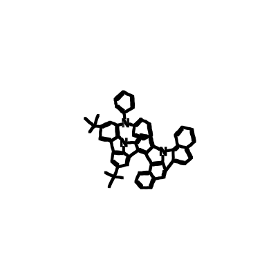 CC(C)(C)c1cc(N(c2ccccc2)c2ccccc2)c2c(c1)c1cc(C(C)(C)C)cc3c4c5c6c7ccccc7cc7c8ccc9ccccc9c8n(c5ccc4n2c13)c76